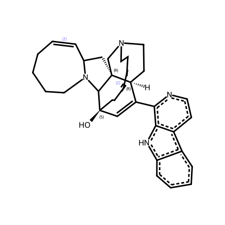 O[C@]12C=C(c3nccc4c3[nH]c3ccccc34)[C@@H]3CCN(CCCC/C=C\CC1)C[C@@]31CC3/C=C\CCCCN3C12